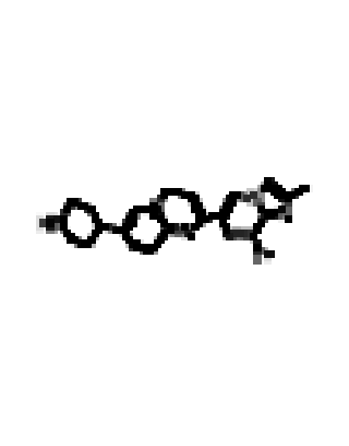 CCc1cc(C2=CCN3C=C(C4CCNCC4)C=CC3=N2)cn2cc(C)nc12